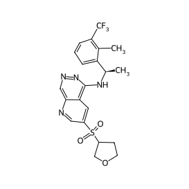 Cc1c([C@@H](C)Nc2nncc3ncc(S(=O)(=O)C4CCOC4)cc23)cccc1C(F)(F)F